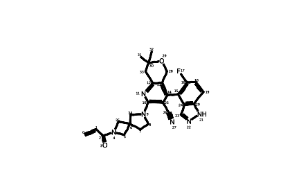 C=CC(=O)N1CC2(CCN(c3nc4c(c(-c5c(F)ccc6[nH]ncc56)c3C#N)COC(C)(C)C4)C2)C1